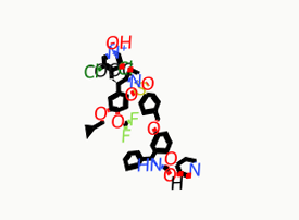 O=C(N[C@@H](c1ccccc1)c1cccc(OCc2ccc(S(=O)(=O)N3CC(C(=O)[O-])C3[C@@H](Cc3c(Cl)c[n+](O)cc3Cl)c3ccc(OC(F)F)c(OCC4CC4)c3)cc2)c1)O[C@H]1CN2CCC1CC2